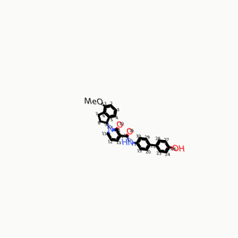 COc1cccc2c1CCC2n1cccc(C(=O)Nc2ccc(-c3ccc(O)cc3)cc2)c1=O